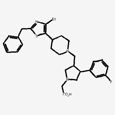 CCc1nc(Cc2ccccc2)sc1C1CCN(CC2CN(CC(=O)O)CC2c2cccc(F)c2)CC1